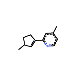 Cc1ccnc(C2=CC(C)CC2)c1